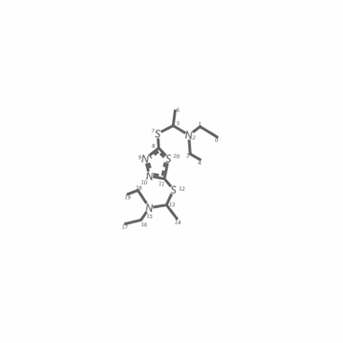 CCN(CC)C(C)Sc1nnc(SC(C)N(CC)CC)s1